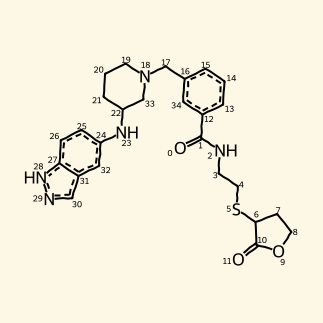 O=C(NCCSC1CCOC1=O)c1cccc(CN2CCCC(Nc3ccc4[nH]ncc4c3)C2)c1